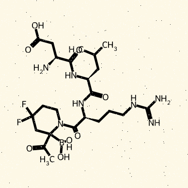 CC(=O)C1(B(O)O)CC(F)(F)CCN1C(=O)[C@H](CCCNC(=N)N)NC(=O)[C@H](CC(C)C)NC(=O)[C@@H](N)CC(=O)O